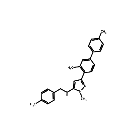 Cc1ccc(CNc2cc(-c3ccc(-c4ccc(C)cc4)cc3C)nn2C)cc1